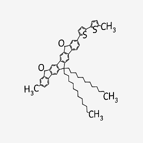 CCCCCCCCCCCCC1(CCCCCCCCCCCC)c2cc3c(cc2-c2cc4c(cc21)-c1ccc(-c2ccc(-c5ccc(C)s5)s2)cc1C4=O)C(=O)c1cc(C)ccc1-3